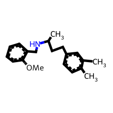 COc1ccccc1CNC(C)CCc1ccc(C)c(C)c1